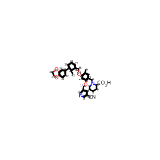 Cc1cc(CN2CCCC[C@@H]2C(=O)O)c(OCc2cncc(C#N)c2)cc1OCc1cccc(-c2ccc3c(c2)OCCO3)c1C